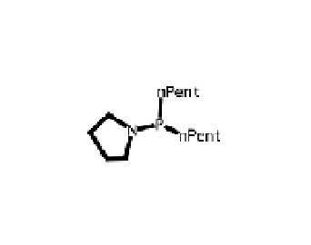 CCCCCP(CCCCC)N1CCCC1